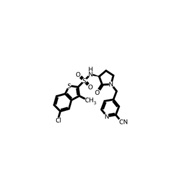 Cc1c(S(=O)(=O)N[C@H]2CCN(Cc3ccnc(C#N)c3)C2=O)sc2ccc(Cl)cc12